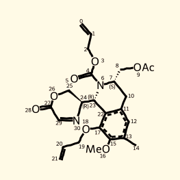 C=CCOC(=O)N1[C@H](COC(C)=O)Cc2cc(C)c(OC)c(OCC=C)c2[C@@H]1[C@@H]1COC(=O)C=N1